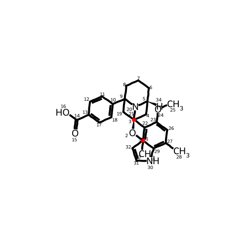 CCO[C@@H]1C[C@H]2CCCC(c3ccc(C(=O)O)cc3)(C1)N2Cc1c(OC)cc(C)c2[nH]ccc12